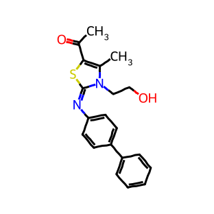 CC(=O)c1sc(=Nc2ccc(-c3ccccc3)cc2)n(CCO)c1C